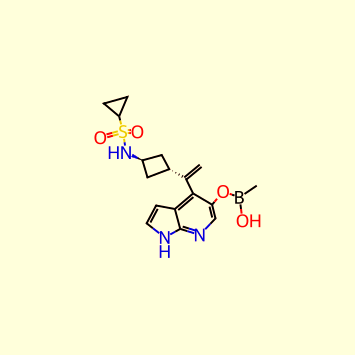 C=C(c1c(OB(C)O)cnc2[nH]ccc12)[C@H]1C[C@H](NS(=O)(=O)C2CC2)C1